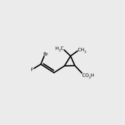 CC1(C)C(C=C(F)Br)C1C(=O)O